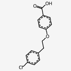 O=C(O)c1ccc(OCCc2ccc(Cl)cc2)cc1